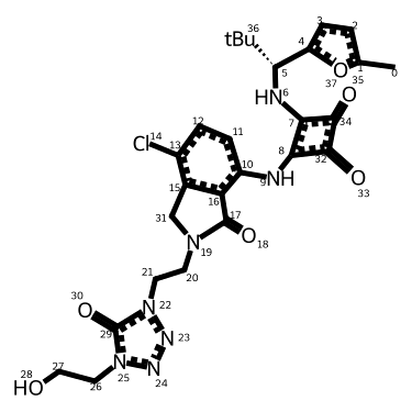 Cc1ccc([C@H](Nc2c(Nc3ccc(Cl)c4c3C(=O)N(CCn3nnn(CCO)c3=O)C4)c(=O)c2=O)C(C)(C)C)o1